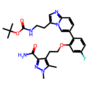 Cc1c(CCOc2cc(F)ccc2-c2ccc3ncc(CCNC(=O)OC(C)(C)C)n3c2)c(C(N)=O)nn1C